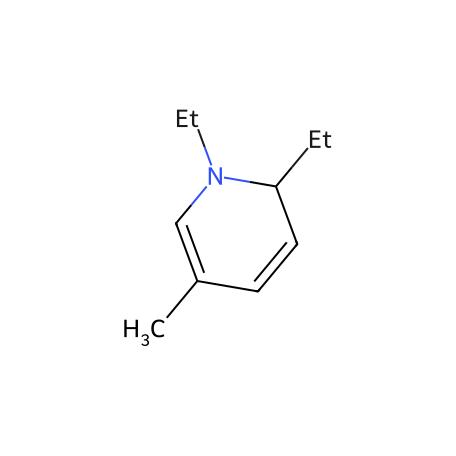 CCC1C=CC(C)=CN1CC